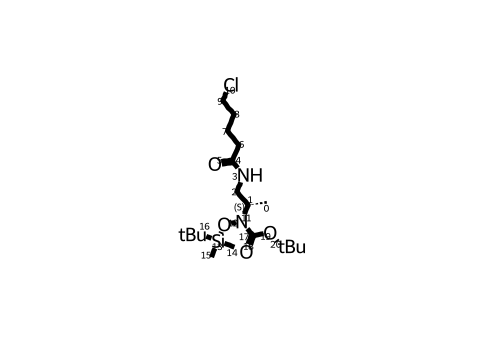 C[C@@H](CNC(=O)CCCCCl)N(O[Si](C)(C)C(C)(C)C)C(=O)OC(C)(C)C